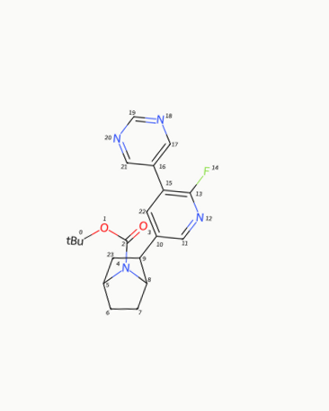 CC(C)(C)OC(=O)N1C2CCC1C(c1cnc(F)c(-c3cncnc3)c1)C2